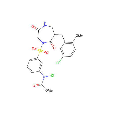 COC(=O)N(Cl)c1cccc(S(=O)(=O)N2CC(=O)NCC(Cc3cc(Cl)ccc3OC)C2=O)c1